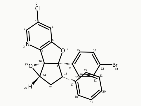 Clc1cnc2c(c1)O[C@@]1(c3ccc(Br)cc3)[C@H](c3ccccc3)C[C@@H]3O[C@@]231